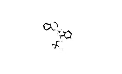 Cc1ccc2nc(N3CCSc4ccccc4C3)nc(NCC3(CN)COC3)c2c1